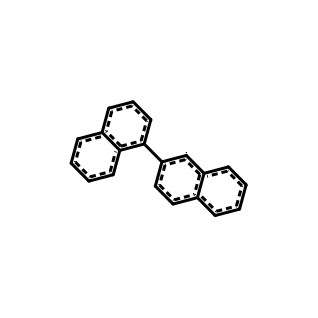 [c]1c(-c2cccc3ccccc23)ccc2ccccc12